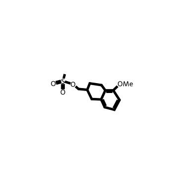 COc1cccc2c1CCC(COS(C)(=O)=O)C2